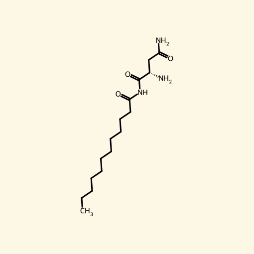 CCCCCCCCCCCC(=O)NC(=O)[C@@H](N)CC(N)=O